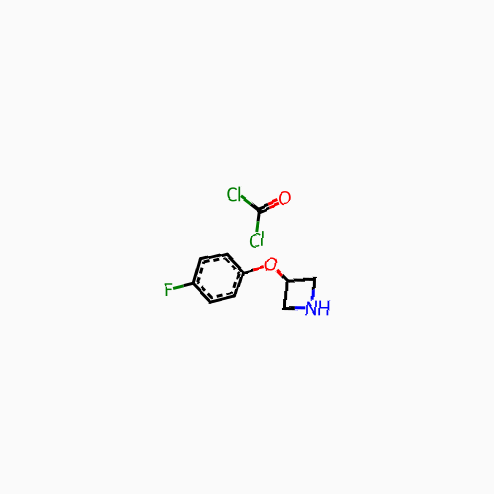 Fc1ccc(OC2CNC2)cc1.O=C(Cl)Cl